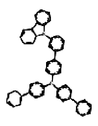 C1=CCCC(c2ccc(N(c3ccc(-c4ccccc4)cc3)c3ccc(-c4cccc(N5c6ccccc6C6C=CC=CC65)c4)cc3)cc2)=C1